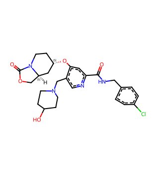 O=C(NCc1ccc(Cl)cc1)c1cc(O[C@H]2CCN3C(=O)OC[C@@H]3C2)c(CN2CCC(O)CC2)cn1